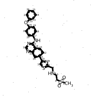 CS(=O)(=O)CCNCc1nc(-c2ccc3c(Nc4ccc(Oc5ccccc5)cc4)ncnc3c2)cs1